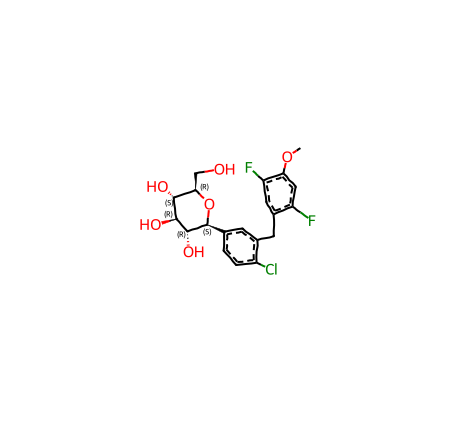 COc1cc(F)c(Cc2cc([C@@H]3O[C@H](CO)[C@@H](O)[C@H](O)[C@H]3O)ccc2Cl)cc1F